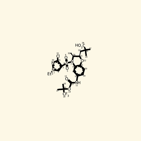 CCn1cc(S(=O)(=O)N2c3cc(NC(=O)OC(C)(C)C(F)(F)F)ccc3O[C@H](CC(C)(C)C(=O)O)[C@@H]2C)c(Cl)n1